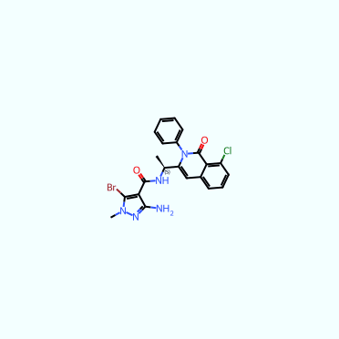 C[C@H](NC(=O)c1c(N)nn(C)c1Br)c1cc2cccc(Cl)c2c(=O)n1-c1ccccc1